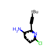 CC(C)(C)C#Cc1nc(Cl)ccc1N